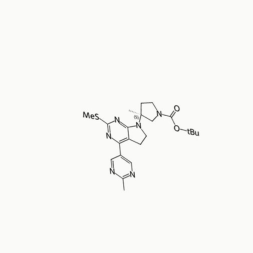 CSc1nc(-c2cnc(C)nc2)c2c(n1)N([C@@]1(C)CCN(C(=O)OC(C)(C)C)C1)CC2